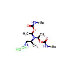 CCCCNC(=O)OC(C)N(C(C)CN)C(C)OC(=O)NCCCC.Cl.Cl